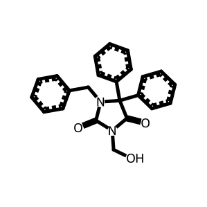 O=C1N(CO)C(=O)C(c2ccccc2)(c2ccccc2)N1Cc1ccccc1